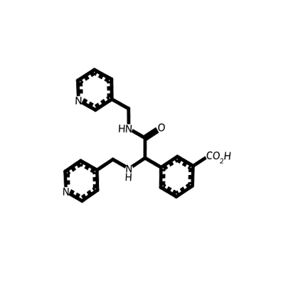 O=C(O)c1cccc(C(NCc2ccncc2)C(=O)NCc2cccnc2)c1